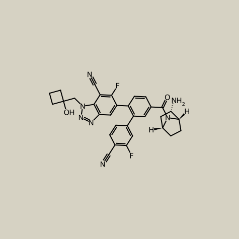 N#Cc1ccc(-c2cc(C(=O)N3[C@@H]4CC[C@H]3[C@@H](N)C4)ccc2-c2cc3nnn(CC4(O)CCC4)c3c(C#N)c2F)cc1F